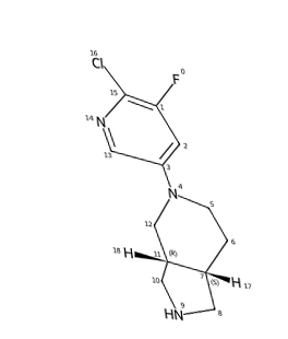 Fc1cc(N2CC[C@@H]3CNC[C@@H]3C2)cnc1Cl